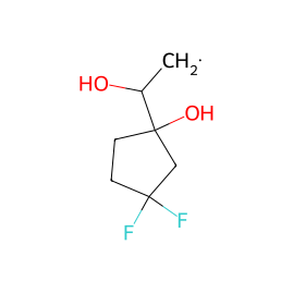 [CH2]C(O)C1(O)CCC(F)(F)C1